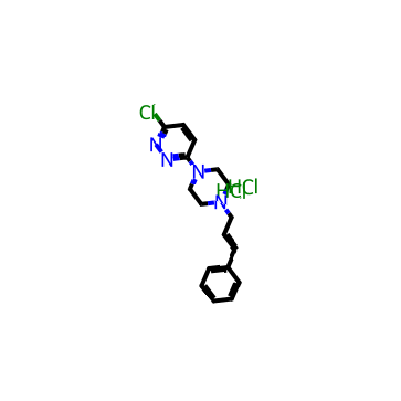 Cl.Cl.Clc1ccc(N2CCN(CC=Cc3ccccc3)CC2)nn1